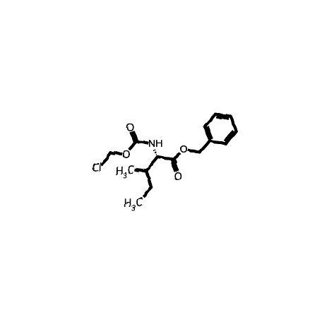 CCC(C)[C@H](NC(=O)OCCl)C(=O)OCc1ccccc1